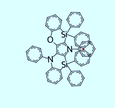 c1ccc(N2c3ccccc3[Si](c3ccccc3)(c3ccccc3)c3c2c2c(n3-c3ccccc3)[Si](c3ccccc3)(c3ccccc3)c3ccccc3O2)cc1